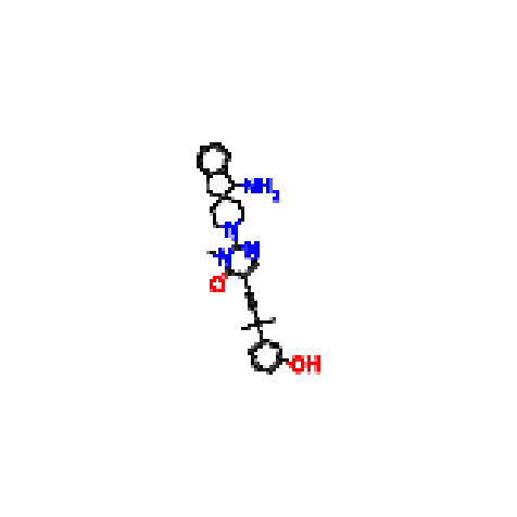 Cn1c(N2CCC3(CC2)Cc2ccccc2[C@H]3N)ncc(C#CC(C)(C)c2cccc(O)c2)c1=O